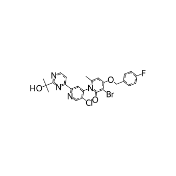 Cc1cc(OCc2ccc(F)cc2)c(Br)c(=O)n1-c1cc(-c2ccnc(C(C)(C)O)n2)ncc1Cl